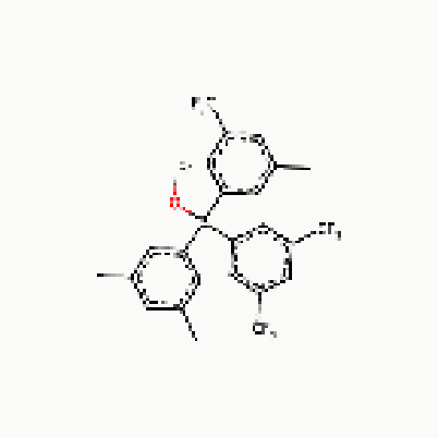 Cc1cc(C)cc([B-](OC(C)C)(c2cc(C)cc(C(F)(F)F)c2)c2cc(C(F)(F)F)cc(C(F)(F)F)c2)c1